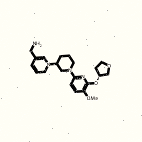 COc1ccc(N2CCCC(N3C=C(CN)C=CC3)C2)nc1O[C@@H]1CCOC1